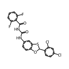 O=C(NC(=O)c1c(F)cccc1F)Nc1ccc2c(c1)SC(c1ccc(Cl)cc1Cl)O2